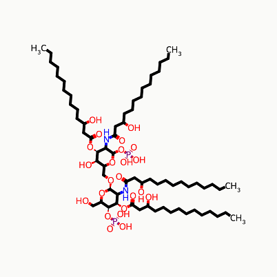 CCCCCCCCCCCC(O)CC(=O)NC1C(OP(=O)(O)O)OC(CO[C@@H]2OC(CO)[C@@H](OP(=O)(O)O)[C@H](OC(=O)CC(O)CCCCCCCCCCC)C2NC(=O)CC(O)CCCCCCCCCCC)[C@@H](O)[C@@H]1OC(=O)CC(O)CCCCCCCCCCC